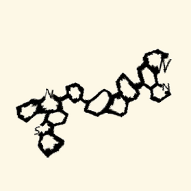 C1=CC2C(c3ccc4c5c(ccc4c3)C=CC(c3cccc(-c4nc6ccccc6c6c4CCc4c-6sc6ccccc46)c3)C5)=Cc3cccnc3C2N=C1